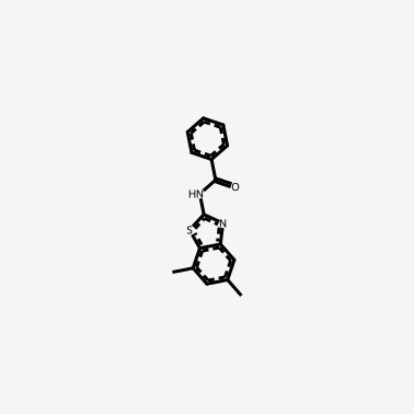 Cc1cc(C)c2sc(NC(=O)c3ccccc3)nc2c1